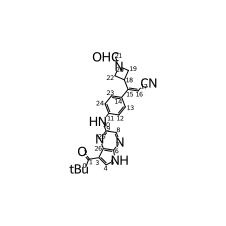 CC(C)(C)C(=O)c1c[nH]c2ncc(Nc3ccc(C(=CC#N)C4CN(C=O)C4)cc3)nc12